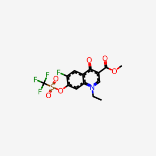 CCn1cc(C(=O)OC)c(=O)c2cc(F)c(OS(=O)(=O)C(F)(F)F)cc21